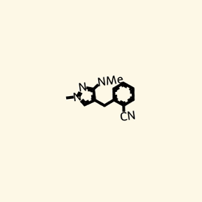 CNc1nn(C)cc1Cc1ccccc1C#N